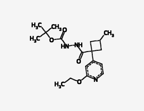 CCOc1cc(C2(C(=O)NNC(=O)OC(C)(C)C)CC(C)C2)ccn1